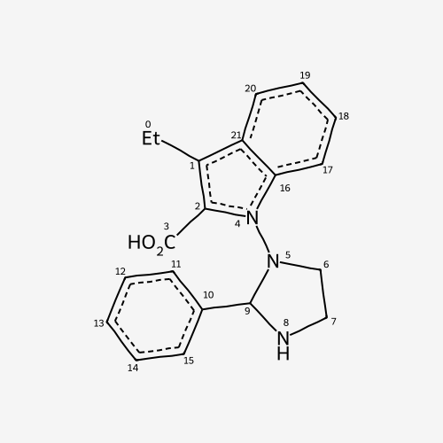 CCc1c(C(=O)O)n(N2CCNC2c2ccccc2)c2ccccc12